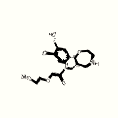 COCCOCC(=O)NC[C@@H]1CNCCO[C@H]1c1ccc(Cl)c(F)c1.Cl